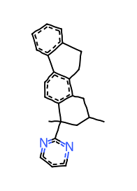 CC1Cc2c(ccc3c2CCc2ccccc2-3)C(C)(c2ncccn2)C1